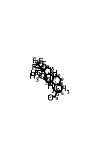 C[C@]12CC(C=O)=CCC1CC[C@@H]1[C@H]2CC[C@@]2(C)[C@H]1CCC2(O)C(F)(F)C(F)(F)F